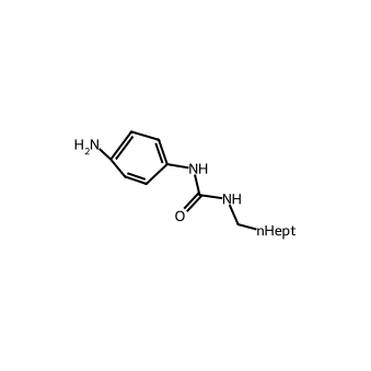 CCCCCCCCNC(=O)Nc1ccc(N)cc1